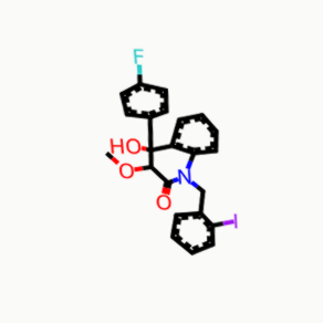 COC1C(=O)N(Cc2ccccc2I)c2ccccc2C1(O)c1ccc(F)cc1